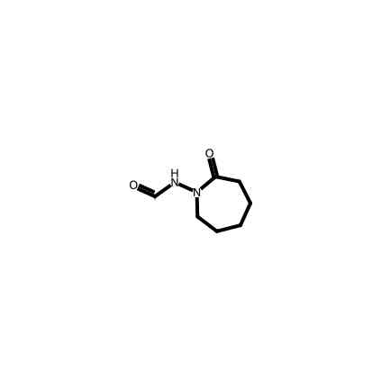 O=[C]NN1CCCCCC1=O